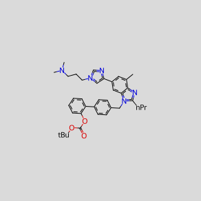 CCCc1nc2c(C)cc(-c3cn(CCCN(C)C)cn3)cc2n1Cc1ccc(-c2ccccc2OC(=O)OC(C)(C)C)cc1